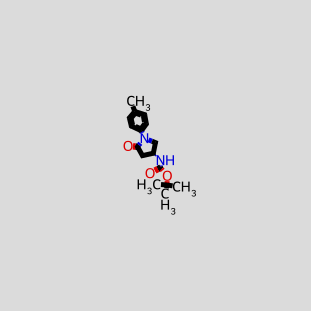 Cc1ccc(N2C[C@H](NC(=O)OC(C)(C)C)CC2=O)cc1